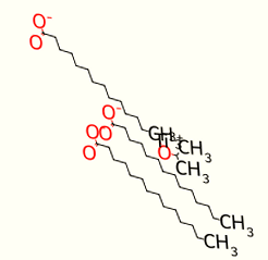 CC(C)[O][Ti+3].CCCCCCCCCCCCCC(=O)[O-].CCCCCCCCCCCCCC(=O)[O-].CCCCCCCCCCCCCC(=O)[O-]